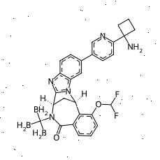 BC(B)(B)N1C(=O)c2cccc(OC(F)F)c2[C@H]2C[C@@H]1c1nc3ccc(-c4ccc(C5(N)CCC5)nc4)cc3n12